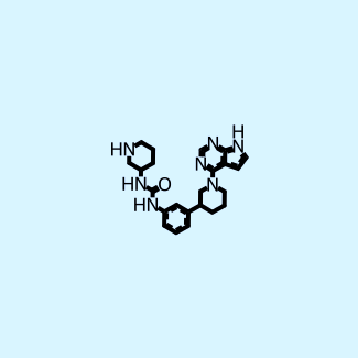 O=C(Nc1cccc(C2CCCN(c3ncnc4[nH]ccc34)C2)c1)NC1CCCNC1